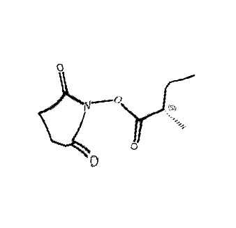 CC[C@H](C)C(=O)ON1C(=O)CCC1=O